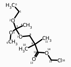 CCOC(C)(OC)OCC(C)(C)C(=O)OCCl